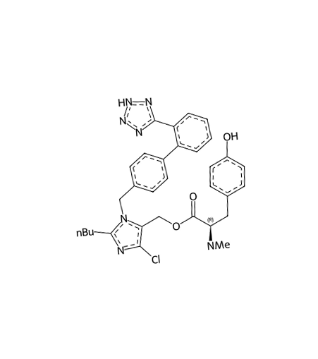 CCCCc1nc(Cl)c(COC(=O)[C@@H](Cc2ccc(O)cc2)NC)n1Cc1ccc(-c2ccccc2-c2nn[nH]n2)cc1